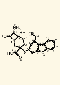 N[C@@H]1C(=O)N2CC(Sc3cc(CCl)c4c(c3)oc3ccccc34)(C(=O)O)CS[C@H]12